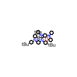 CC(C)(C)c1ccc(N2c3ccc(C(C)(C)C)cc3B3c4c2cccc4N(c2ccc(C(C)(C)C)cc2)c2c3n(-c3ccccc3)c3ccc4c(c23)Oc2ccccc2N4c2ccccc2)cc1